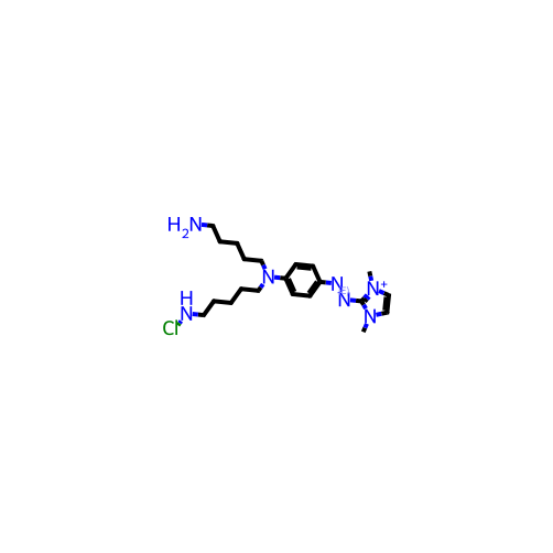 Cn1cc[n+](C)c1/N=N/c1ccc(N(CCCCCN)CCCCCNCl)cc1